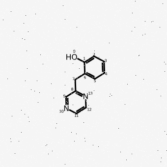 Oc1ccccc1Cc1cnccn1